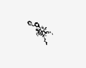 CCCCOc1nc(N)c([N+](=O)[O-])c(N(Cc2cccc(CN3CCCC3)c2)C2(C(=O)OC)CC2)n1